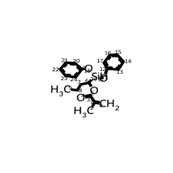 C=C(C)C(=O)OC(CCC)[SiH](Oc1ccccc1)Oc1ccccc1